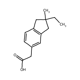 CCC1(C)Cc2ccc(CC(=O)O)cc2C1